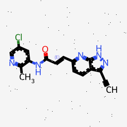 C#Cc1n[nH]c2nc(/C=C/C(=O)Nc3cc(Cl)cnc3C)ccc12